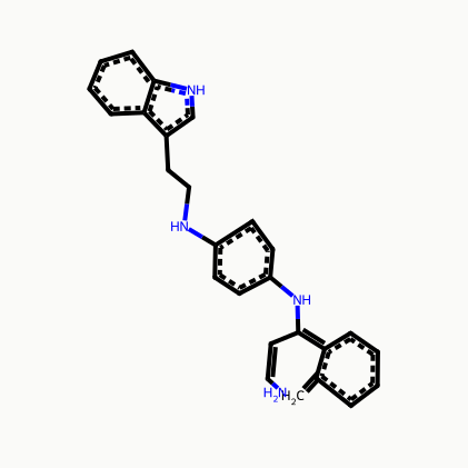 C=c1cccc/c1=C(/C=C\N)Nc1ccc(NCCc2c[nH]c3ccccc23)cc1